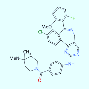 CNC1(C)CCN(C(=O)c2ccc(Nc3ncc4c(n3)-c3ccc(Cl)cc3C(c3c(F)cccc3OC)=NC4)cc2)CC1